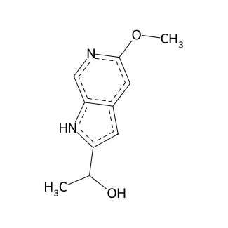 COc1cc2cc(C(C)O)[nH]c2cn1